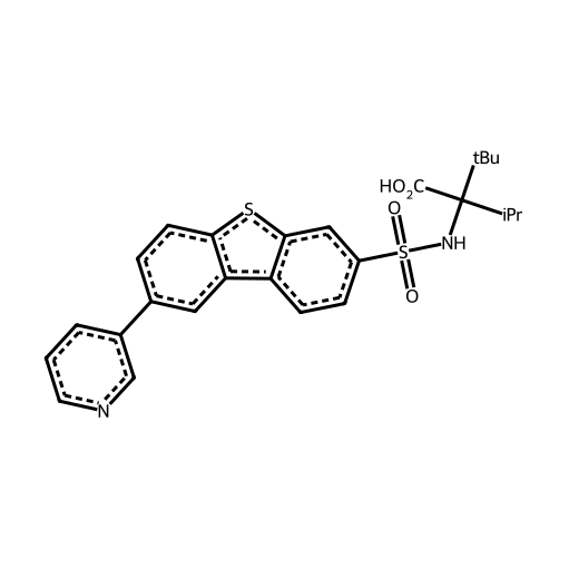 CC(C)C(NS(=O)(=O)c1ccc2c(c1)sc1ccc(-c3cccnc3)cc12)(C(=O)O)C(C)(C)C